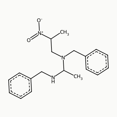 CC(NCc1ccccc1)N(Cc1ccccc1)CC(C)[N+](=O)[O-]